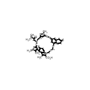 Cc1c(C(=O)O)n2c3ccc(Cl)c(c13)-c1c(nn(C)c1C)CN(CC(=O)N(C)C)Cc1cc(n(C)n1)CSc1cc(c3ccc(F)cc3c1)OCCC2